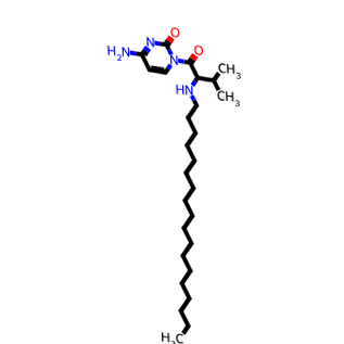 CCCCCCCCCCCCCCCCCCNC(C(=O)n1ccc(N)nc1=O)C(C)C